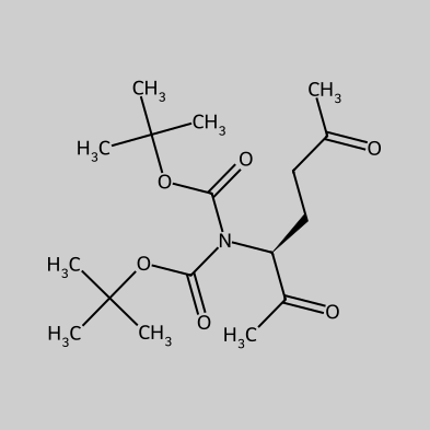 CC(=O)CC[C@@H](C(C)=O)N(C(=O)OC(C)(C)C)C(=O)OC(C)(C)C